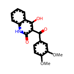 COc1ccc(C(=O)c2c(O)c3ccccc3[nH]c2=O)cc1OC